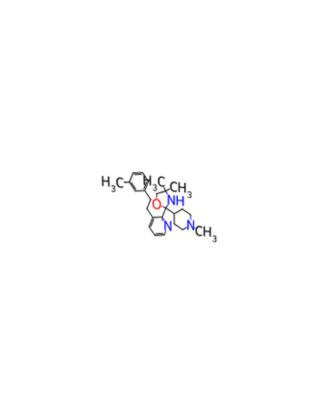 Cc1cccc(CCc2cccnc2C2(C3CCN(C)CC3)NC(C)(C)CO2)c1